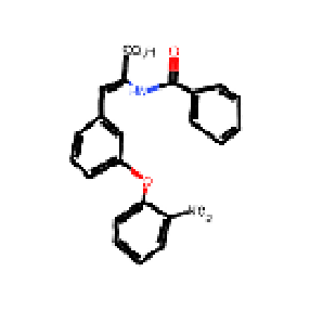 O=C(O)C(=Cc1cccc(Oc2ccccc2[N+](=O)[O-])c1)NC(=O)c1ccccc1